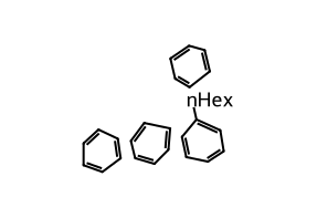 CCCCCCc1ccccc1.c1ccccc1.c1ccccc1.c1ccccc1